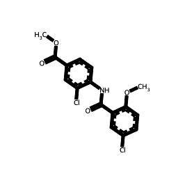 COC(=O)c1ccc(NC(=O)c2cc(Cl)ccc2OC)c(Cl)c1